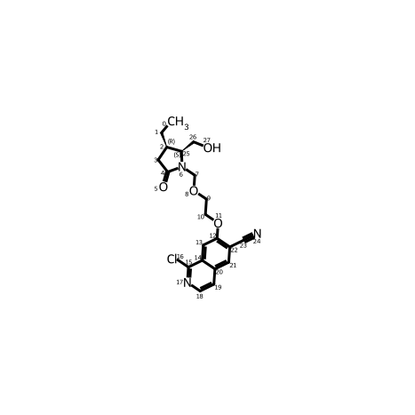 CC[C@@H]1CC(=O)N(COCCOc2cc3c(Cl)nccc3cc2C#N)[C@@H]1CO